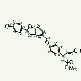 CC#C[C@@H](CC(=O)OC)c1ccc(OCc2ccc3c(c2)C[C@@H](c2ccc(Cl)cc2)O3)cc1